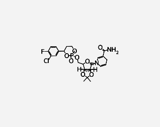 CC1(C)O[C@@H]2[C@H](O1)C(COP1(=O)OCCC(c3ccc(F)c(Cl)c3)O1)O[C@H]2N1C=CCC(C(N)=O)=C1